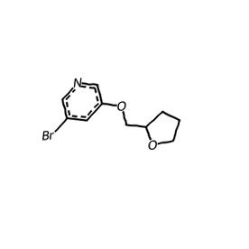 Brc1cncc(OCC2CCCO2)c1